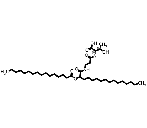 CCCCCCCCCCCCCCCC(=O)OC(CCCCCCCCCCCCCC)C(=O)NCCC(=O)N[C@H](C(=O)O)[C@@H](C)O